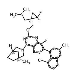 Cc1cc(-c2ncc3c(N4C[C@H]5CC[C@@](C)(C5)C4)nc(OC[C@]4(CN(C)C)CC4(F)F)nc3c2F)c2c(Cl)cccc2c1